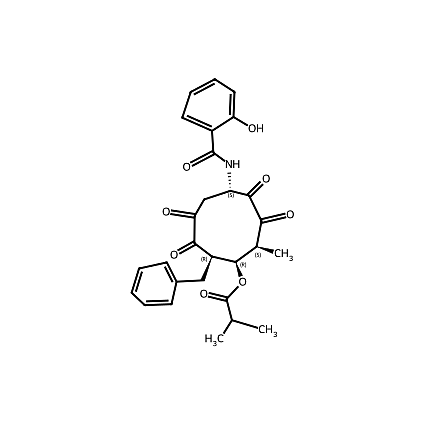 CC(C)C(=O)O[C@@H]1[C@H](C)C(=O)C(=O)[C@@H](NC(=O)c2ccccc2O)CC(=O)C(=O)[C@@H]1Cc1ccccc1